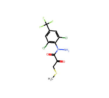 CSCC(=O)C(=O)N(N)c1c(Cl)cc(C(F)(F)F)cc1Cl